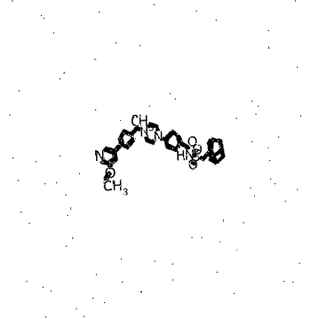 CCOc1cncc(-c2ccc(C(C)N3CCN(c4ccc(C(=O)NS(=O)(=O)CC56CC7CC(CC(C7)C5)C6)cc4)CC3)cc2)c1